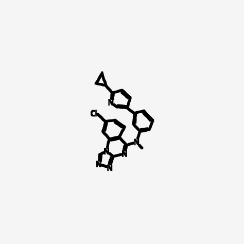 CN(c1cccc(-c2ccc(C3CC3)nc2)c1)c1nc2nncn2c2cc(Cl)ccc12